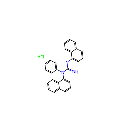 Cl.N=C(Nc1cccc2ccccc12)N(c1ccccc1)c1cccc2ccccc12